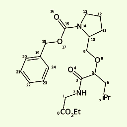 CCOC(=O)CNC(=O)C(CC(C)C)OCC1CCCN1C(=O)OCc1ccccc1